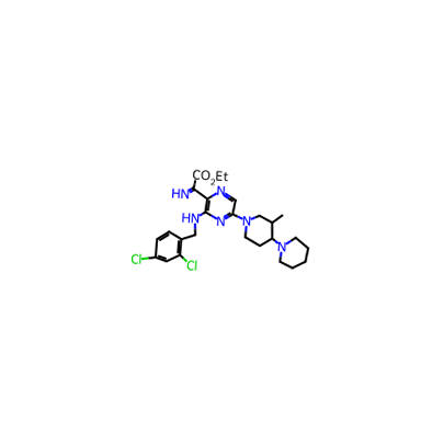 CCOC(=O)C(=N)c1ncc(N2CCC(N3CCCCC3)C(C)C2)nc1NCc1ccc(Cl)cc1Cl